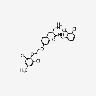 Cc1cc(Cl)c(OCCOc2ccc(CC(CN)C(=O)NCc3cccc(Cl)c3Cl)cc2)c(Cl)c1